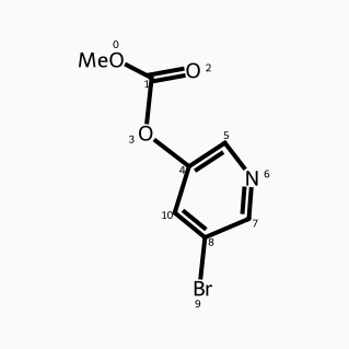 COC(=O)Oc1cncc(Br)c1